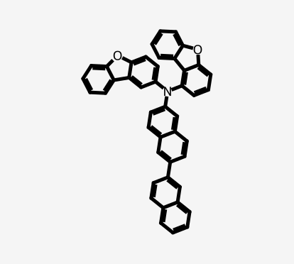 c1ccc2cc(-c3ccc4cc(N(c5ccc6oc7ccccc7c6c5)c5cccc6oc7ccccc7c56)ccc4c3)ccc2c1